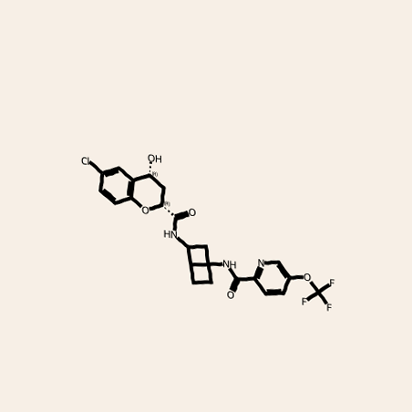 O=C(NC12CCC1C(NC(=O)[C@H]1C[C@@H](O)c3cc(Cl)ccc3O1)C2)c1ccc(OC(F)(F)F)cn1